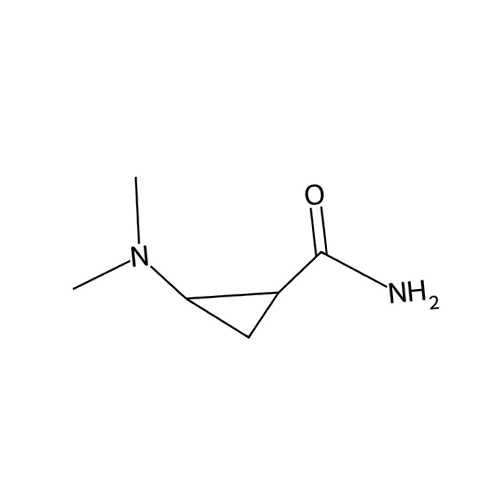 CN(C)C1CC1C(N)=O